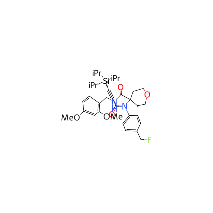 COc1ccc(CNC(=O)C2(N(C(=O)C#C[Si](C(C)C)(C(C)C)C(C)C)c3ccc(CF)cc3)CCOCC2)c(OC)c1